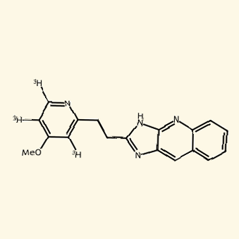 [3H]c1nc(CCc2nc3cc4ccccc4nc3[nH]2)c([3H])c(OC)c1[3H]